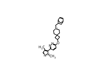 Cc1cnn(C)c1-c1ccc(OC2CC3(CCN(CC4CC5C=CC4C5)CC3)C2)nn1